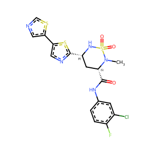 CN1[C@H](C(=O)Nc2ccc(F)c(Cl)c2)C[C@H](c2ncc(-c3cncs3)s2)NS1(=O)=O